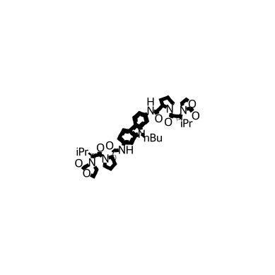 CCCCn1c2cc(NC(=O)C3CCCN3C(=O)[C@H](C(C)C)N3CCOC3=O)ccc2c2ccc(NC(=O)[C@@H]3CCCN3C(=O)[C@H](C(C)C)N3CCOC3=O)cc21